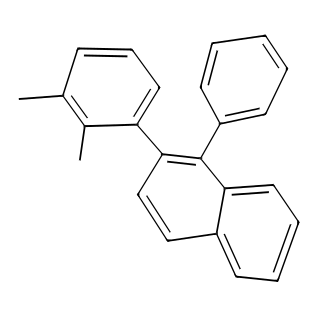 Cc1cccc(-c2ccc3ccccc3c2-c2ccccc2)c1C